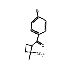 CC1(C(=O)O)CCN1C(=O)c1ccc(Br)cc1